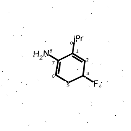 CC(C)C1=CC(F)CC=C1N